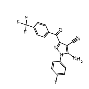 N#Cc1c(C(=O)c2ccc(C(F)(F)F)cc2)nn(-c2ccc(F)cc2)c1N